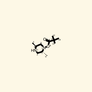 C[C@@H]1CN[C@@H](C)CN1OC(=O)C(C)(C)C